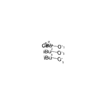 CCC(C)[O-].CCC(C)[O-].CCC(C)[O-].[Ce+3]